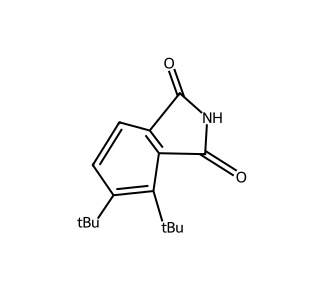 CC(C)(C)c1ccc2c(c1C(C)(C)C)C(=O)NC2=O